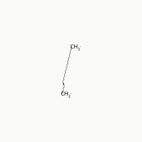 [CH2]CCCCC#CCCCCCCCCCCCCCCCCCCCCC[CH2]